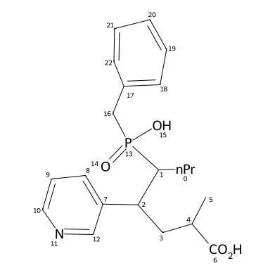 CCCC(C(CC(C)C(=O)O)c1cccnc1)P(=O)(O)Cc1ccccc1